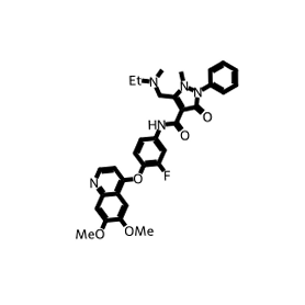 CCN(C)Cc1c(C(=O)Nc2ccc(Oc3ccnc4cc(OC)c(OC)cc34)c(F)c2)c(=O)n(-c2ccccc2)n1C